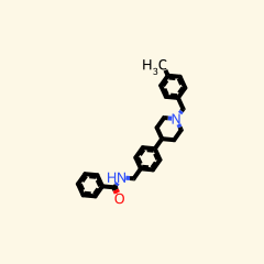 Cc1ccc(CN2CCC(c3ccc(CNC(=O)c4ccccc4)cc3)CC2)cc1